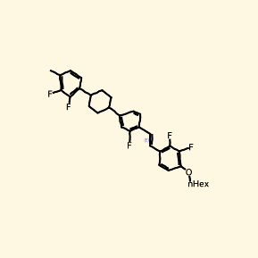 CCCCCCOc1ccc(/C=C/c2ccc(C3CCC(c4ccc(C)c(F)c4F)CC3)cc2F)c(F)c1F